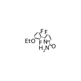 CCOc1ccc(F)c(-c2nc(C(N)=O)ccc2F)c1F